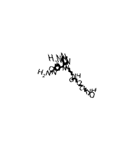 Nc1nc2cc(-c3nn(CCCCNC(=O)CCOCCOCCNC=O)c4ncnc(N)c34)ccc2o1